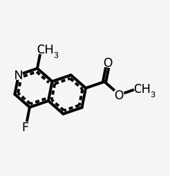 COC(=O)c1ccc2c(F)cnc(C)c2c1